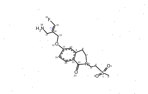 CS(=O)(=O)CCN1CCc2cc(OC/C(=C/F)CN)ccc2C1=O